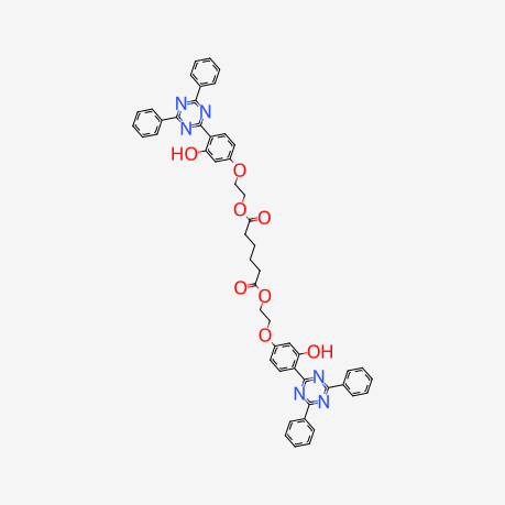 O=C(CCCCC(=O)OCCOc1ccc(-c2nc(-c3ccccc3)nc(-c3ccccc3)n2)c(O)c1)OCCOc1ccc(-c2nc(-c3ccccc3)nc(-c3ccccc3)n2)c(O)c1